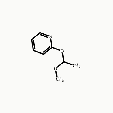 COC(C)Oc1ccccn1